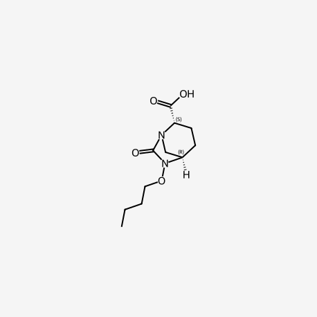 CCCCON1C(=O)N2C[C@H]1CC[C@H]2C(=O)O